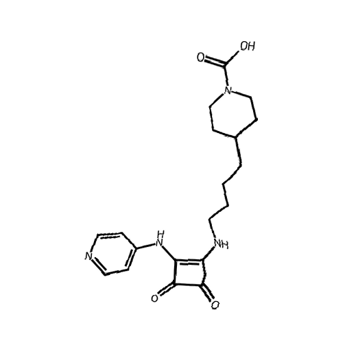 O=C(O)N1CCC(CCCCNc2c(Nc3ccncc3)c(=O)c2=O)CC1